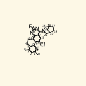 Cc1cc(C)c(I)c(-c2c(Cl)cc3c(N4CC5CCC(C5)C4)nc(F)nc3c2F)n1